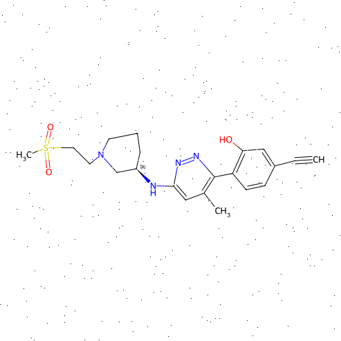 C#Cc1ccc(-c2nnc(N[C@@H]3CCCN(CCS(C)(=O)=O)C3)cc2C)c(O)c1